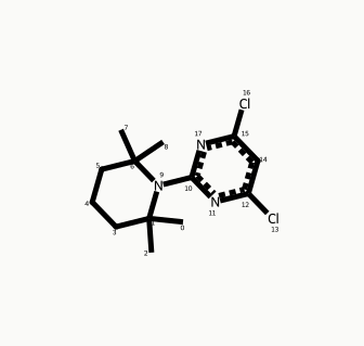 CC1(C)CCCC(C)(C)N1c1nc(Cl)cc(Cl)n1